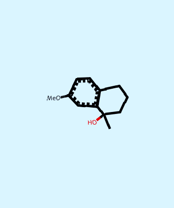 COc1ccc2c(c1)C(C)(O)CCC2